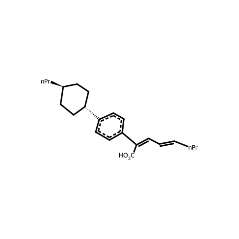 CCCC=CC=C(C(=O)O)c1ccc([C@H]2CC[C@H](CCC)CC2)cc1